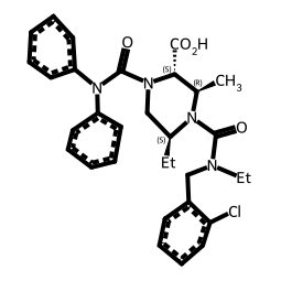 CC[C@H]1CN(C(=O)N(c2ccccc2)c2ccccc2)[C@H](C(=O)O)[C@@H](C)N1C(=O)N(CC)Cc1ccccc1Cl